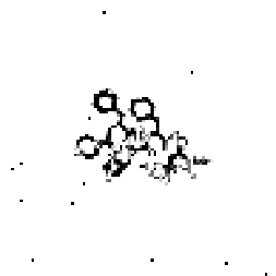 CNC(=O)[C@@H](C[C@H](O)[C@H](CC1CCCCC1)NC(=O)[C@H](Cc1cscn1)NC(=O)[C@@H](CC(=O)N1CCOCC1)Cc1ccccc1)C(C)(C)O